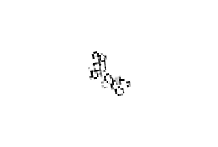 CCO[C@@H]1OC=C(C(=O)OC)[C@H]2CC=C(COC(=O)[C@@H](N)Cc3ccccc3)[C@@H]12